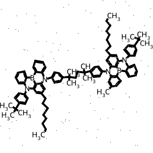 CCCCCCCCc1cc2c3c(c1)N(c1ccc(C(C)(C)CCC(C)(C)c4ccc(N5c6cc(C)ccc6B6c7ccccc7N(c7ccc(C(C)(C)C)cc7)c7cc(CCCCCCCC)cc5c76)cc4)cc1)c1ccccc1B3c1ccccc1N2c1ccc(C(C)(C)C)cc1